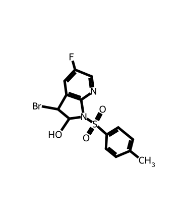 Cc1ccc(S(=O)(=O)N2c3ncc(F)cc3C(Br)C2O)cc1